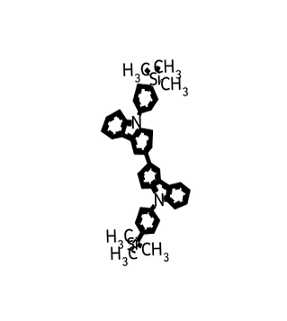 C[Si](C)(C)c1ccc(-n2c3ccccc3c3cc(-c4ccc5c(c4)c4ccccc4n5-c4ccc([Si](C)(C)C)cc4)ccc32)cc1